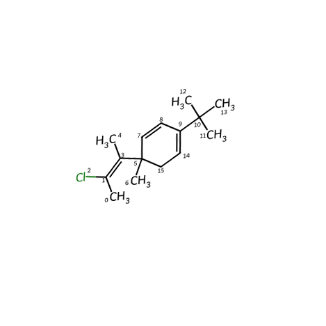 C/C(Cl)=C(/C)C1(C)C=CC(C(C)(C)C)=CC1